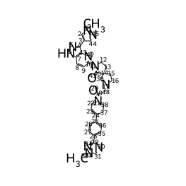 Cn1cc(-c2n[nH]c3ccc(N4CC[C@]5(CCN(CC(=O)N6CC=C(c7ccc(-c8ncn(C)n8)cc7)CC6)C5)C4=O)nc23)cn1